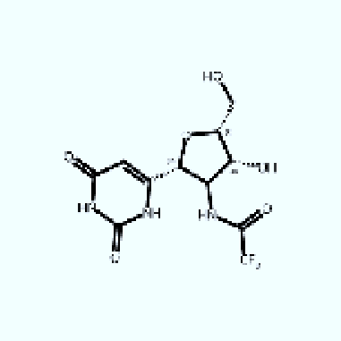 O=C(NC1[C@@H](O)[C@@H](CO)O[C@H]1c1cc(=O)[nH]c(=O)[nH]1)C(F)(F)F